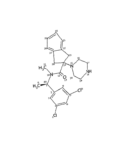 C[C@H](c1cc(Cl)cc(Cl)c1)N(C)C(=O)C1(N2CCNCC2)Cc2ccccc2C1